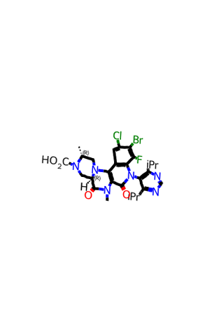 CC(C)c1ncnc(C(C)C)c1-n1c(=O)c2c(c3cc(Cl)c(Br)c(F)c31)N1C[C@@H](C)N(C(=O)O)C[C@@H]1C(=O)N2C